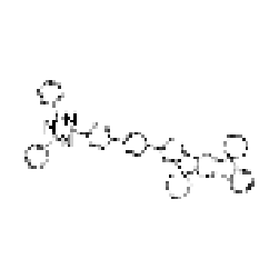 c1ccc(-c2nc(-c3ccccc3)nc(-c3ccc(-c4ccc(-c5ccc6c(c5)C5(CCCCC5)c5cc7c(cc5-6)C5(CCCCC5)c5ccccc5-7)cc4)cc3)n2)cc1